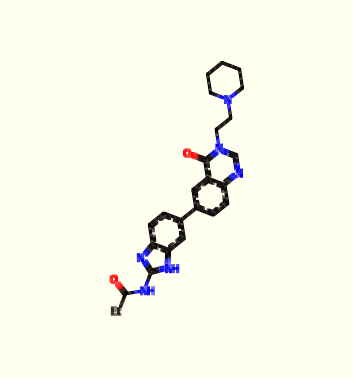 CCC(=O)Nc1nc2ccc(-c3ccc4ncn(CCN5CCCCC5)c(=O)c4c3)cc2[nH]1